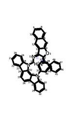 N/C(=C1/Oc2cc3ccccc3cc2/C1=N/Cn1c2ccccc2c2ccc3c4ccccc4n(-c4ccccc4)c3c21)c1ccccc1